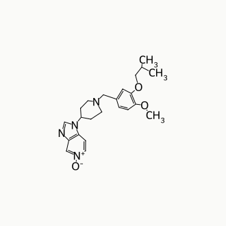 COc1ccc(CN2CCC(n3cnc4c[n+]([O-])ccc43)CC2)cc1OCC(C)C